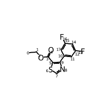 CCOC(=O)c1scnc1-c1cc(F)cc(F)c1